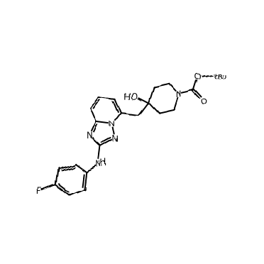 CC(C)(C)OC(=O)N1CCC(O)(Cc2cccc3nc(Nc4ccc(F)cc4)nn23)CC1